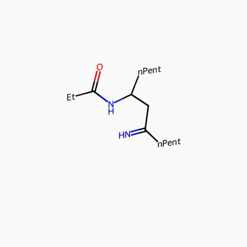 CCCCCC(=N)CC(CCCCC)NC(=O)CC